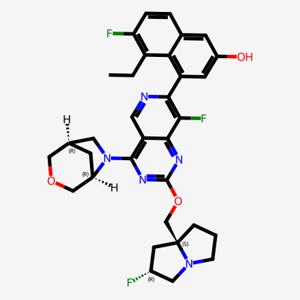 CCc1c(F)ccc2cc(O)cc(-c3ncc4c(N5C[C@@H]6COC[C@H]5C6)nc(OC[C@@]56CCCN5C[C@H](F)C6)nc4c3F)c12